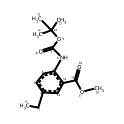 CCc1ccc(NC(=O)OC(C)(C)C)c(C(=O)OC)c1